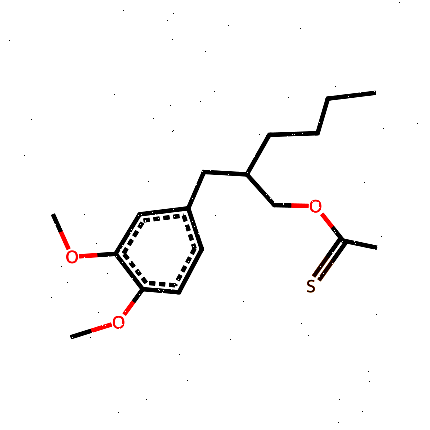 CCCCC(COC(C)=S)Cc1ccc(OC)c(OC)c1